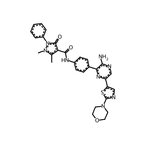 Cc1c(C(=O)Nc2ccc(-c3nc(-c4cnc(N5CCOCC5)s4)cnc3N)cc2)c(=O)n(-c2ccccc2)n1C